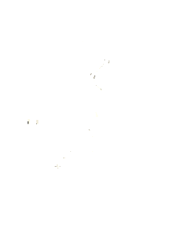 C=Cc1cc(NCCn2cncn2)c(-c2ccccc2)cc1NC(C)F